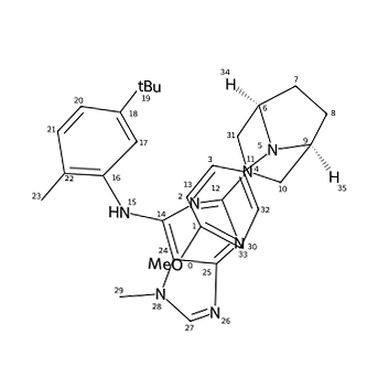 COc1ccc(N2[C@@H]3CC[C@H]2CN(c2nc(Nc4cc(C(C)(C)C)ccc4C)c4c(ncn4C)n2)C3)cc1